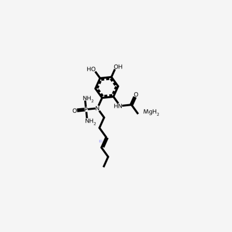 CC/C=C/CCN(c1cc(O)c(O)cc1NC(C)=O)P(N)(N)=O.[MgH2]